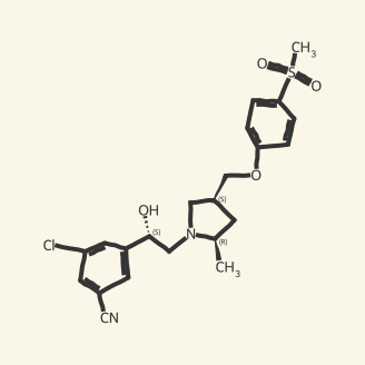 C[C@@H]1C[C@H](COc2ccc(S(C)(=O)=O)cc2)CN1C[C@@H](O)c1cc(Cl)cc(C#N)c1